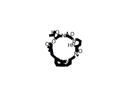 CC(C)[C@@H]1OC(=O)C(C)(C)/C=C/c2ccc3ccc(nc3c2)CN(C)C(=O)[C@@H]2CCCN(N2)C(=O)[C@H](C)NC1O